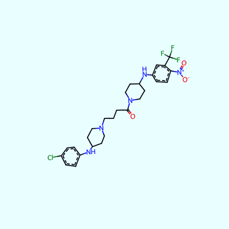 O=C(CCCN1CCC(Nc2ccc(Cl)cc2)CC1)N1CCC(Nc2ccc([N+](=O)[O-])c(C(F)(F)F)c2)CC1